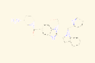 N[C@@H]1CCCN(C(=O)c2cc3c4c(c2)nc(-c2cc5ccccc5n2Cc2ccccn2)n4CCO3)C1